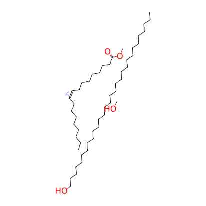 CCCCCCCC/C=C\CCCCCCCC(=O)OC.CCCCCCCCCCCCCCCCCCCCCCCCCCCCCCO.CO